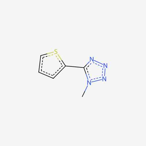 Cn1nnnc1-c1cccs1